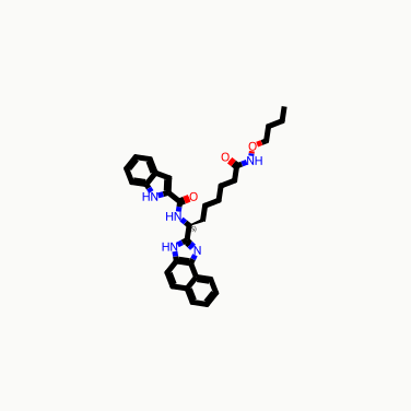 CCCCONC(=O)CCCCC[C@H](NC(=O)c1cc2ccccc2[nH]1)c1nc2c(ccc3ccccc32)[nH]1